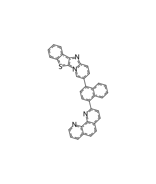 c1cnc2c(c1)ccc1ccc(-c3ccc(-c4ccc5nc6c7ccccc7sc6n5c4)c4ccccc34)nc12